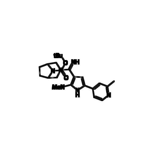 CNc1[nH]c(-c2ccnc(C)c2)cc1C(=N)N1CC2CCC(C1)N2C(=O)OC(C)(C)C